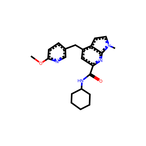 COc1ccc(Cc2cc(C(=O)NC3CCCCC3)nc3c2ccn3C)cn1